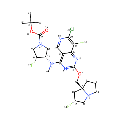 CN(c1nc(OC[C@@]23CCCN2C[C@H](F)C3)nc2c(F)c(Cl)ncc12)[C@H]1CN(C(=O)OC(C)(C)C)C[C@H]1F